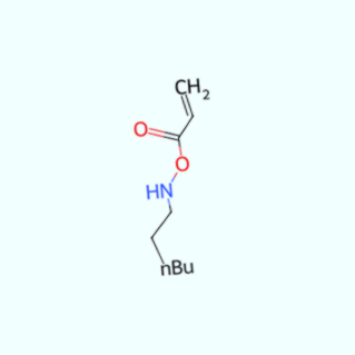 C=CC(=O)ONCCCCCC